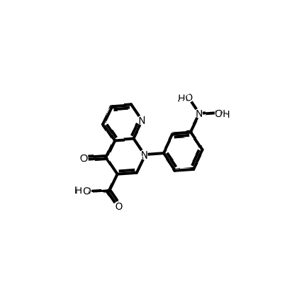 O=C(O)c1cn(-c2cccc(N(O)O)c2)c2ncccc2c1=O